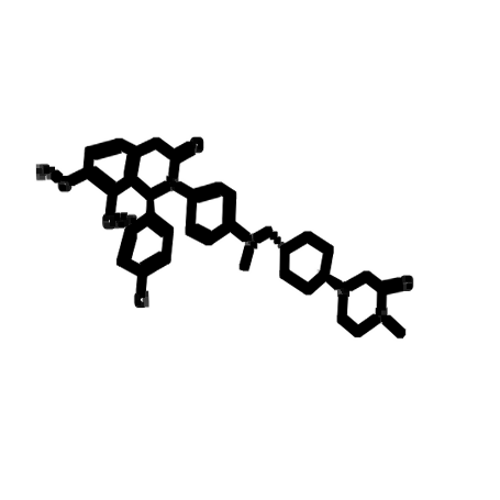 COc1c(OC(C)C)ccc2c1[C@H](c1ccc(Cl)cc1)N(c1ccc(N(C)C[C@H]3CC[C@H](N4CCN(C)C(=O)C4)CC3)cc1)C(=O)C2